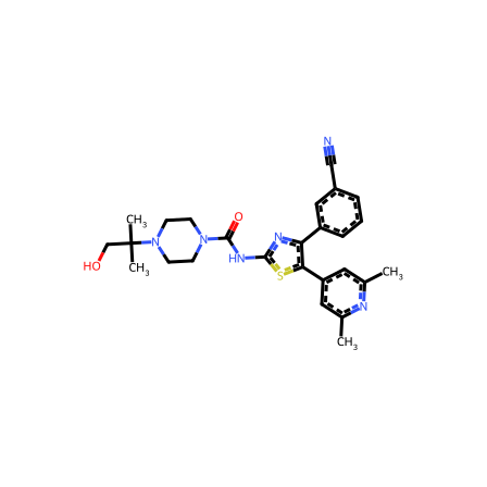 Cc1cc(-c2sc(NC(=O)N3CCN(C(C)(C)CO)CC3)nc2-c2cccc(C#N)c2)cc(C)n1